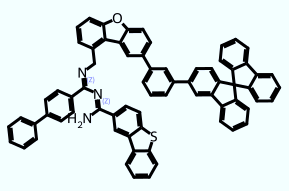 N/C(=N\C(=N/Cc1cccc2oc3ccc(-c4cccc(-c5ccc6c(c5)-c5ccccc5C65c6ccccc6-c6ccccc65)c4)cc3c12)c1ccc(-c2ccccc2)cc1)c1ccc2sc3ccccc3c2c1